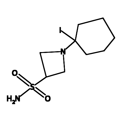 NS(=O)(=O)C1CN(C2(I)CCCCC2)C1